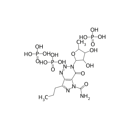 CCCc1nn(C(N)=O)c2c(=O)n(C3OC(C)C(O)C3O)nnc12.O=P(O)(O)O.O=P(O)(O)O.O=P(O)(O)O